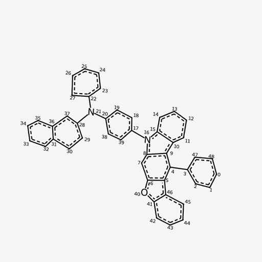 c1ccc(-c2c3c(cc4c2c2ccccc2n4-c2ccc(N(c4ccccc4)c4ccc5ccccc5c4)cc2)oc2ccccc23)cc1